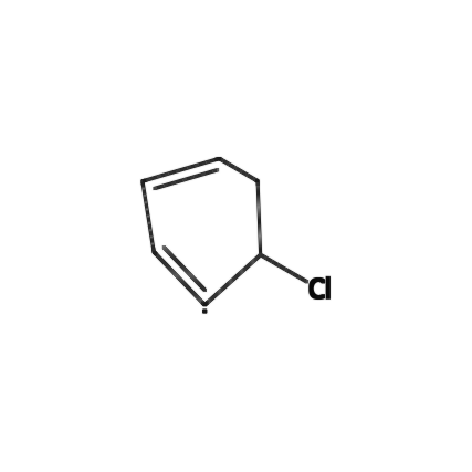 ClC1[C]=CC=CC1